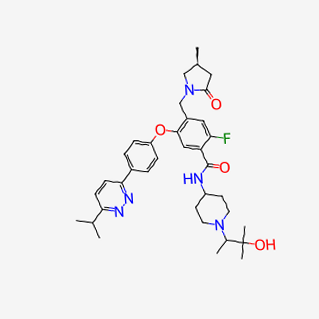 CC(C)c1ccc(-c2ccc(Oc3cc(C(=O)NC4CCN(C(C)C(C)(C)O)CC4)c(F)cc3CN3C[C@@H](C)CC3=O)cc2)nn1